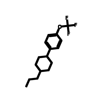 CCCC1CCC(c2ccc(OC(F)(F)F)cc2)CC1